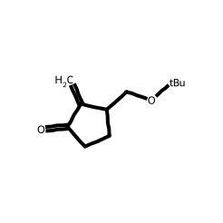 C=C1C(=O)CCC1COC(C)(C)C